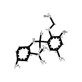 CCC(C)(Pc1ccc(C)cc1N(C)C)c1cc(C)cc(C(C)(C)C)c1OCOC